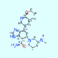 CN(C)C1CCCN(c2cc(-c3cnc4c(c3)CCCO4)c3nc[nH]c3c2C(N)=O)C1